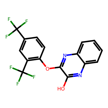 Oc1nc2ccccc2nc1Oc1ccc(C(F)(F)F)cc1C(F)(F)F